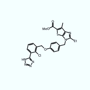 CCc1nc2c(C)c(C(=O)OC)sc2n1Cc1ccc(OCc2cccc(-c3nnn[nH]3)c2Cl)cc1